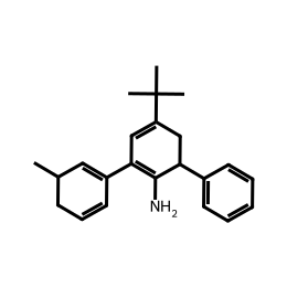 CC1C=C(C2=C(N)C(c3ccccc3)CC(C(C)(C)C)=C2)C=CC1